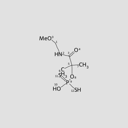 COCNC(=O)C(C)(C)OP(O)(=S)S